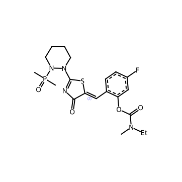 CCN(C)C(=O)Oc1cc(F)ccc1/C=C1\SC(N2CCCCN2P(C)(C)=O)=NC1=O